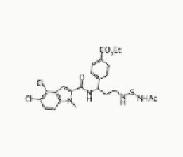 CCOC(=O)c1ccc(C(CCNSNC(C)=O)NC(=O)c2cc3c(Cl)c(Cl)ccc3n2C)cc1